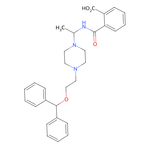 CC(NC(=O)c1ccccc1C(=O)O)N1CCN(CCOC(c2ccccc2)c2ccccc2)CC1